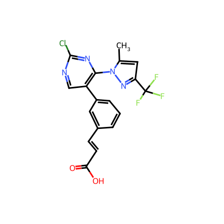 Cc1cc(C(F)(F)F)nn1-c1nc(Cl)ncc1-c1cccc(/C=C/C(=O)O)c1